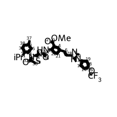 COC(=O)c1cc(C=Cc2ncn(-c3ccc(OC(F)(F)F)cc3)n2)ccc1NC(=O)N=C1SCC(=O)N1c1cc(C)ccc1C(C)C